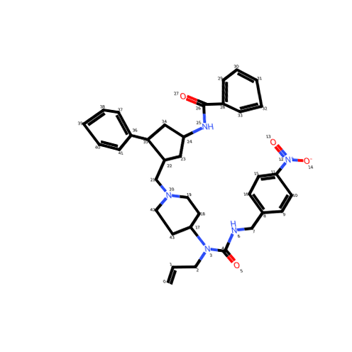 C=CCN(C(=O)NCc1ccc([N+](=O)[O-])cc1)C1CCN(CC2CC(NC(=O)c3ccccc3)CC2c2ccccc2)CC1